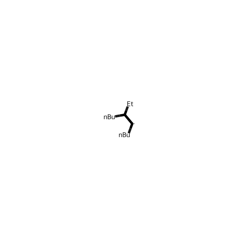 [CH2]CC([CH]CCCC)CCCC